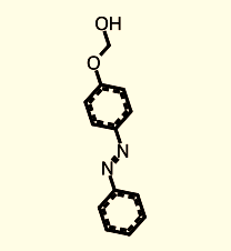 OCOc1ccc(N=Nc2ccccc2)cc1